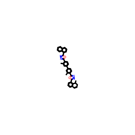 Cc1cc(-c2ccc(-c3nnc(-c4cccc5ccccc45)o3)c(C)c2)ccc1-c1nnc(-c2cccc3c2C(C)CC=C3)o1